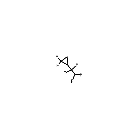 F[C](F)C(F)(F)C1CC1(F)F